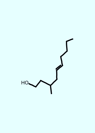 CCCC/C=C/CC(C)CCO